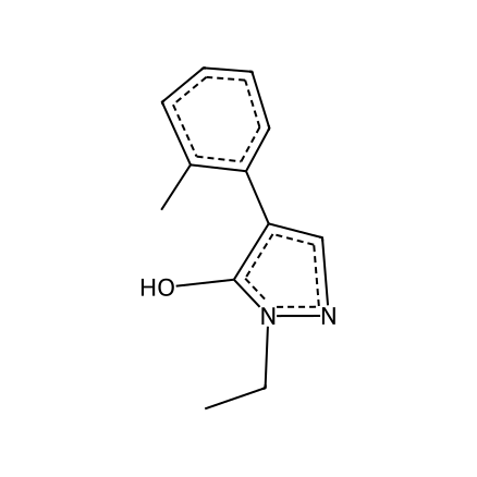 CCn1ncc(-c2ccccc2C)c1O